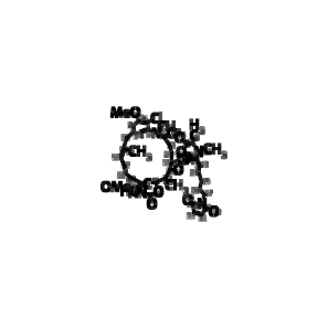 COc1cc2cc(c1Cl)N(C)C(=O)C[C@H](OC(=O)[C@H](C)N(C)C(=O)CCCCCN1C(=O)C=CC1=O)C1(C)OC1[C@H](C)C1C[C@@](O)(NC(=O)O1)[C@H](OC)/C=C/C=C(\C)C2